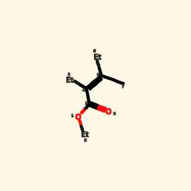 CCOC(=O)/C(CC)=C(\C)CC